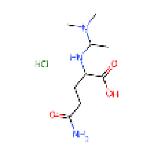 CC(NC(CCC(N)=O)C(=O)O)N(C)C.Cl